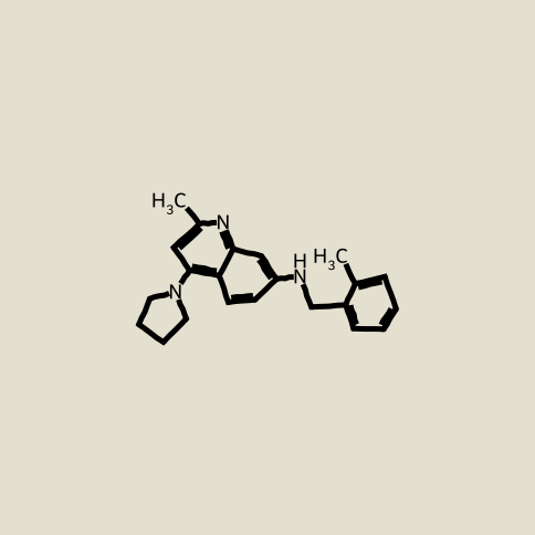 Cc1cc(N2CCCC2)c2ccc(NCc3ccccc3C)cc2n1